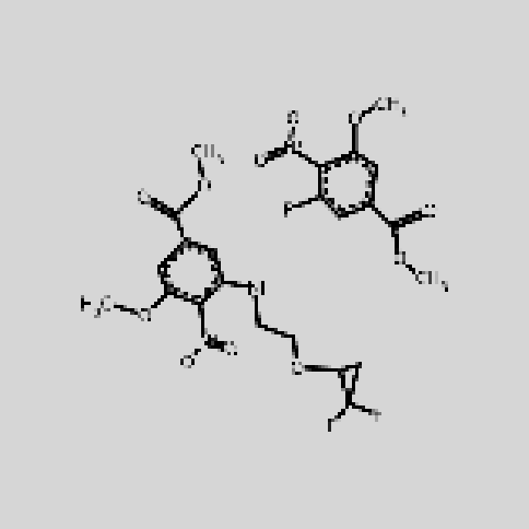 COC(=O)c1cc(F)c([N+](=O)[O-])c(OC)c1.COC(=O)c1cc(NCCOC2CC2(F)F)c([N+](=O)[O-])c(OC)c1